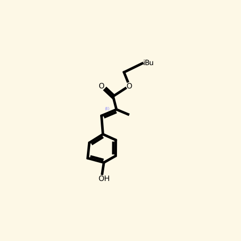 CCC(C)COC(=O)/C(C)=C/c1ccc(O)cc1